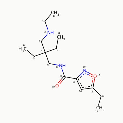 CCNCC(CC)(CC)CNC(=O)c1cc(CC)on1